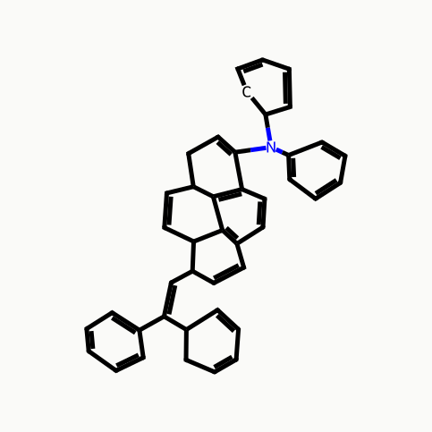 C1=CCC(/C(=C\C2C=Cc3ccc4c5c3C2C=CC5CC=C4N(c2ccccc2)C2C=CC=CC2)c2ccccc2)C=C1